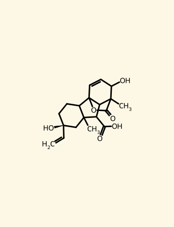 C=C[C@]1(O)CCC2C(C)(C1)C(C(=O)O)C1C23C=CC(O)C1(C)C(=O)O3